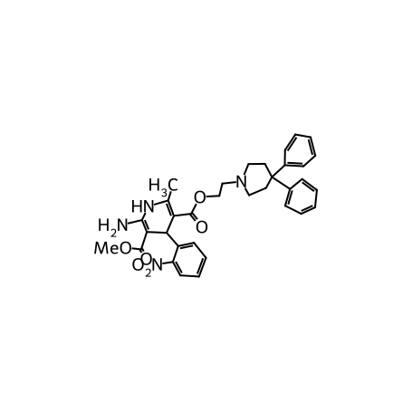 COC(=O)C1=C(N)NC(C)=C(C(=O)OCCN2CCC(c3ccccc3)(c3ccccc3)CC2)C1c1ccccc1[N+](=O)[O-]